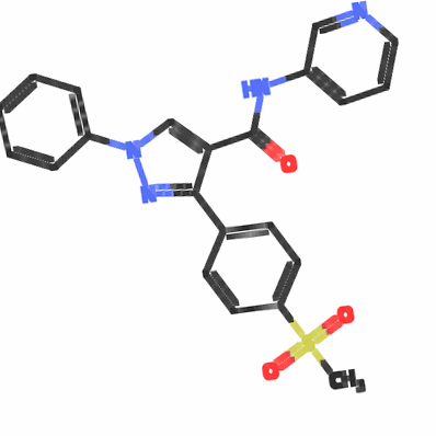 CS(=O)(=O)c1ccc(-c2nn(-c3ccccc3)cc2C(=O)Nc2cccnc2)cc1